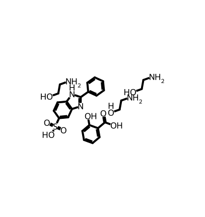 NCCO.NCCO.NCCO.O=C(O)c1ccccc1O.O=S(=O)(O)c1ccc2[nH]c(-c3ccccc3)nc2c1